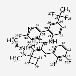 C=CNN(C)C1(/C(C)=C(\Cc2cccc(F)c2F)C(=C)Nc2ccc(C(C)(F)F)cc2-c2ccc(F)nc2)CCC1